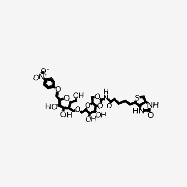 O=C(CCCCC1SCC2NC(=O)NC21)NC1OCC2OC(COCC3C(CO)OC(COc4ccc([N+](=O)[O-])cc4)C(O)C3O)C(O)C(O)C2O1